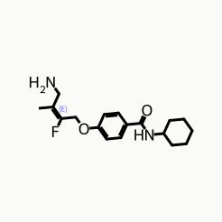 C/C(CN)=C(\F)COc1ccc(C(=O)NC2CCCCC2)cc1